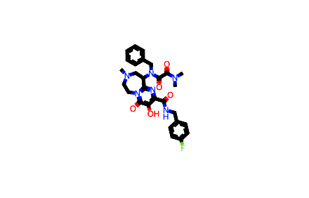 CN1CCn2c(nc(C(=O)NCc3ccc(F)cc3)c(O)c2=O)C(N(Cc2ccccc2)C(=O)C(=O)N(C)C)C1